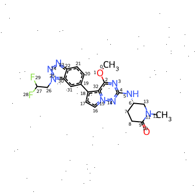 COc1nc(N[C@H]2CCC(=O)N(C)C2)nn2ccc(-c3ccc4nnn(CC(F)F)c4c3)c12